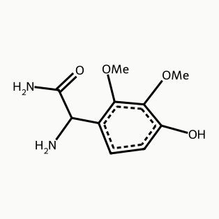 COc1c(O)ccc(C(N)C(N)=O)c1OC